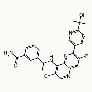 CC(Nc1c(Cl)cnc2cc(F)c(-c3cnc(C(C)(C)O)nc3)nc12)c1cccc(C(N)=O)c1